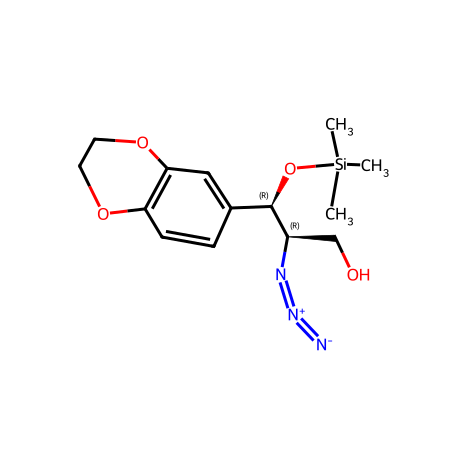 C[Si](C)(C)O[C@H](c1ccc2c(c1)OCCO2)[C@@H](CO)N=[N+]=[N-]